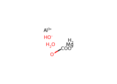 O.O=C([O-])[O-].[Al+3].[MgH2].[OH-]